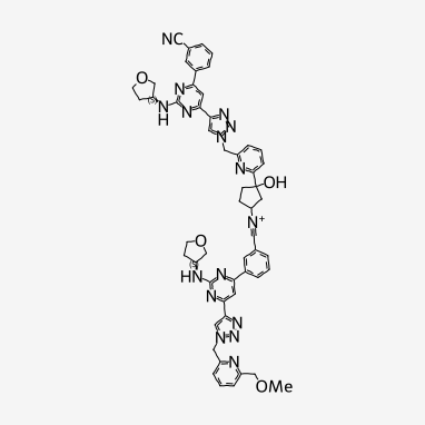 COCc1cccc(Cn2cc(-c3cc(-c4cccc(C#[N+]C5CCC(O)(c6cccc(Cn7cc(-c8cc(-c9cccc(C#N)c9)nc(N[C@H]9CCOC9)n8)nn7)n6)C5)c4)nc(N[C@H]4CCOC4)n3)nn2)n1